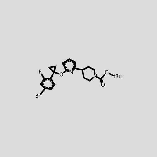 CC(C)(C)OC(=O)N1CCC(c2cccc(OC3(c4ccc(Br)cc4F)CC3)n2)CC1